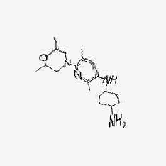 Cc1cc(NC2CCC(N)CC2)c(C)nc1N1CC(C)OC(C)C1